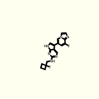 Fc1cc(-c2c[nH]c3nc(NCC4(F)CCC4)ncc23)cn2ccnc12